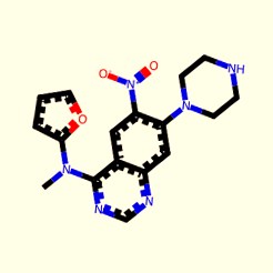 CN(c1ccco1)c1ncnc2cc(N3CCNCC3)c([N+](=O)[O-])cc12